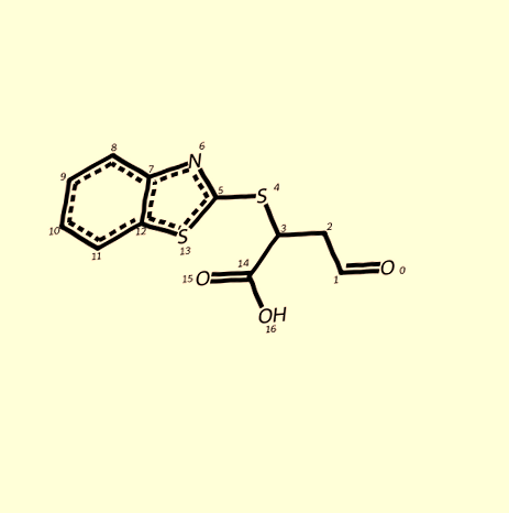 O=CCC(Sc1nc2ccccc2s1)C(=O)O